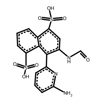 Nc1cccc(-c2c(NC=O)cc(S(=O)(=O)O)c3cccc(S(=O)(=O)O)c23)n1